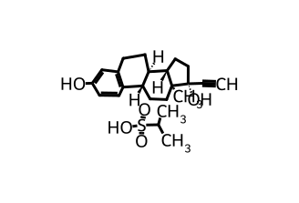 C#C[C@]1(O)CC[C@H]2[C@@H]3CCc4cc(O)ccc4[C@H]3CC[C@@]21C.CC(C)S(=O)(=O)O